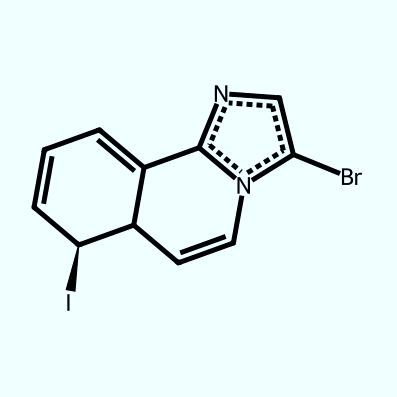 Brc1cnc2n1C=CC1C2=CC=C[C@@H]1I